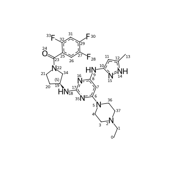 CCN1CCN(c2cc(Nc3cc(C)[nH]n3)nc(N[C@H]3CCN(C(=O)c4cc(F)c(F)cc4F)C3)n2)CC1